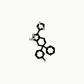 Fc1cccc(C2(c3ccccc3)C=Cc3c(-c4cscn4)n[nH]c3C2)c1